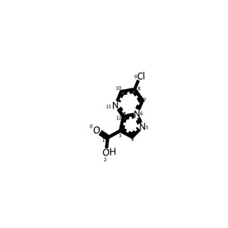 O=C(O)c1cnn2cc(Cl)cnc12